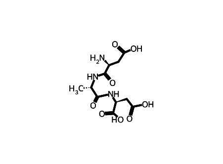 C[C@H](NC(=O)[C@@H](N)CC(=O)O)C(=O)N[C@@H](CC(=O)O)C(=O)O